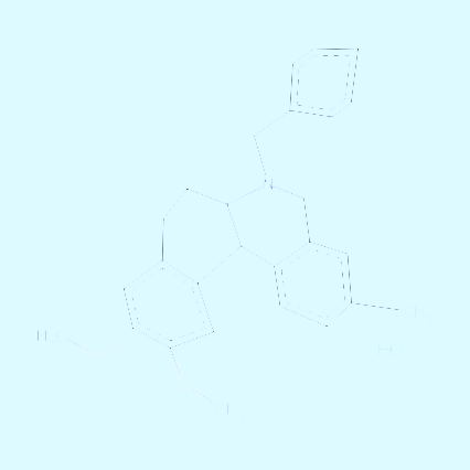 COc1cc2c(cc1OC)C1c3ccc(C)cc3CN(Cc3ccccc3)C1CC2.Cl